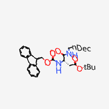 CCCCCCCCCCCNC(=O)[C@H](CC(=O)OC(C)(C)C)NC(=O)OCC1c2ccccc2-c2ccccc21